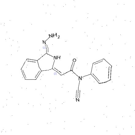 N#CN(C(=O)/C=C1\N/C(=N\N)c2ccccc21)c1ccccc1